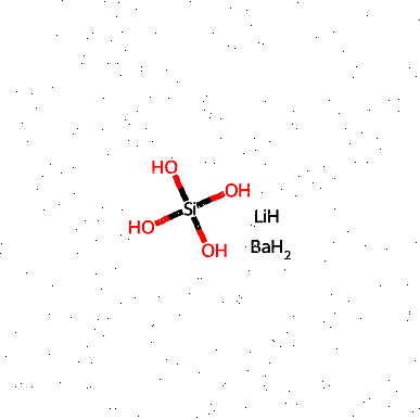 O[Si](O)(O)O.[BaH2].[LiH]